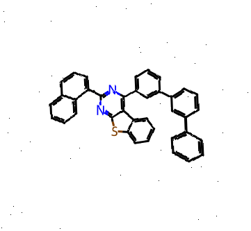 c1ccc(-c2cccc(-c3cccc(-c4nc(-c5cccc6ccccc56)nc5sc6ccccc6c45)c3)c2)cc1